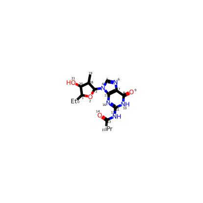 CCC1OC(n2cnc3c(=O)[nH]c(NC(=O)C(C)C)nc32)C(C)C1O